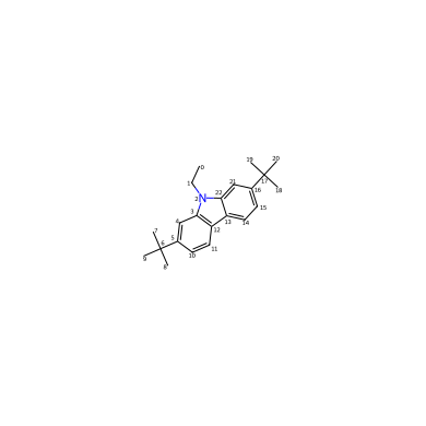 CCn1c2cc(C(C)(C)C)ccc2c2ccc(C(C)(C)C)cc21